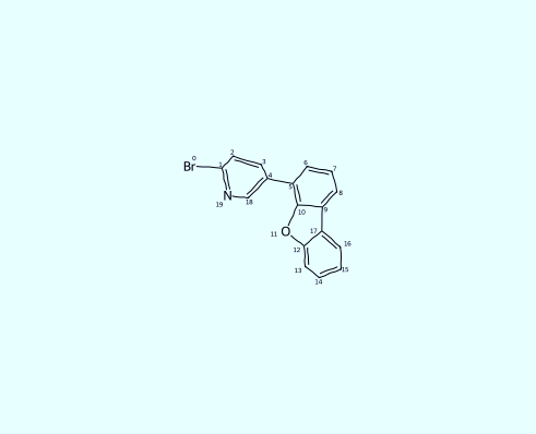 Brc1ccc(-c2cccc3c2oc2ccccc23)cn1